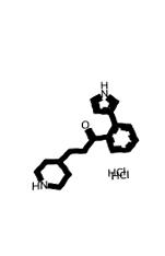 Cl.Cl.O=C(CCC1CCNCC1)c1ccccc1-c1cc[nH]c1